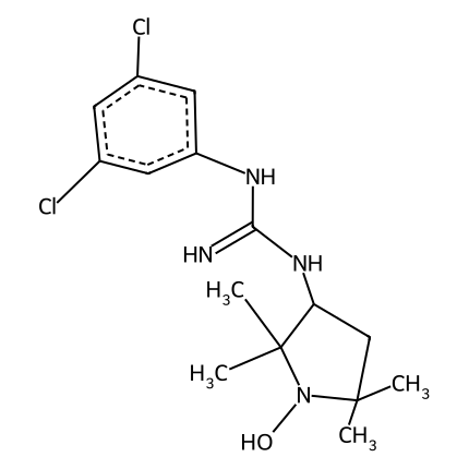 CC1(C)CC(NC(=N)Nc2cc(Cl)cc(Cl)c2)C(C)(C)N1O